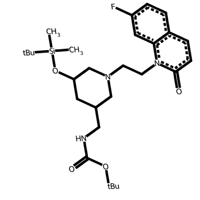 CC(C)(C)OC(=O)NCC1CC(O[Si](C)(C)C(C)(C)C)CN(CCn2c(=O)ccc3ccc(F)cc32)C1